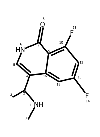 CNC(C)c1c[nH]c(=O)c2c(F)cc(F)cc12